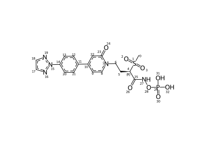 CS(=O)(=O)[C@H](CCn1ccc(-c2ccc(-n3nccn3)cc2)cc1=O)C(=O)NOP(=O)(O)O